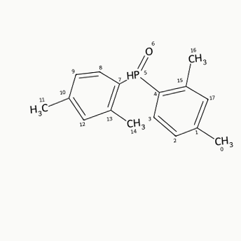 Cc1ccc([PH](=O)c2ccc(C)cc2C)c(C)c1